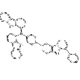 c1ccc(-c2cccc3c2oc2ccc(-c4ccc(N(c5cccc6c5oc5ccccc56)c5cccc6c5oc5ccccc56)cc4)cc23)cc1